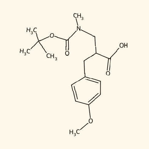 COc1ccc(CC(CN(C)C(=O)OC(C)(C)C)C(=O)O)cc1